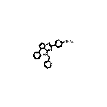 CC(=O)Nc1ccc(-c2nc(NCc3ccccn3)c3c(-c4ccccc4)ccn3n2)cn1